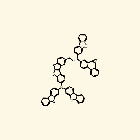 c1ccc2c(c1)-c1ccc([C@H](CCc3ccc4sc5sc6cc(N(c7ccc8c(c7)sc7ccccc78)c7ccc8c(c7)sc7ccccc78)ccc6c5c4c3)c3ccc4c(c3)oc3ccccc34)cc1C1CC21